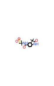 CC1(NC(=O)c2ccc3c(c2)C(C)(C)C(=O)N3)CS(=O)(=O)C1